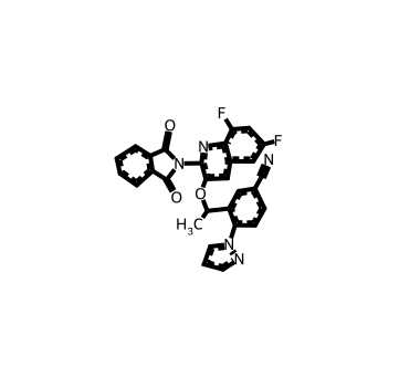 CC(Oc1cc2cc(F)cc(F)c2nc1N1C(=O)c2ccccc2C1=O)c1cc(C#N)ccc1-n1cccn1